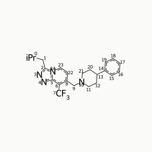 CC(C)Cc1nnc2c(C(F)(F)F)c(CN3CCC(c4ccccc4)CC3)ccn12